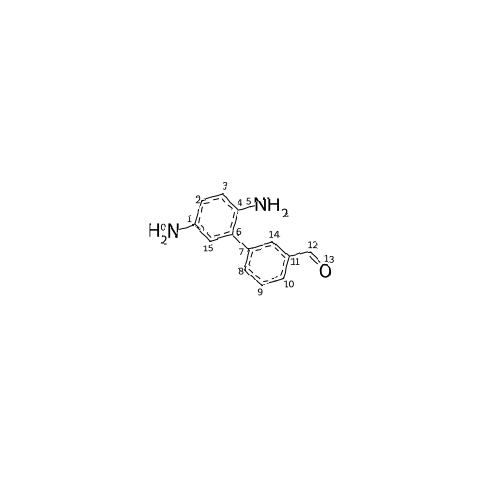 Nc1ccc(N)c(-c2cccc(C=O)c2)c1